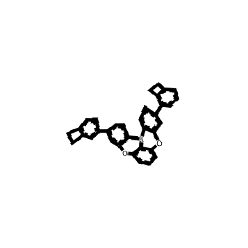 c1cc2c3c(c1)Oc1cc(-c4cccc5c4CC5)ccc1B3c1ccc(-c3ccc4c(c3)CC4)cc1O2